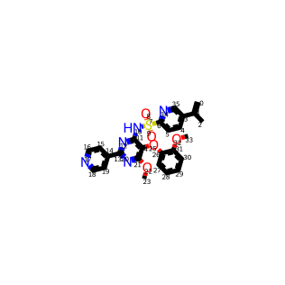 C=C(C)c1ccc(S(=O)(=O)Nc2nc(-c3ccncc3)nc(OC)c2Oc2ccccc2OC)nc1